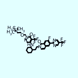 C[Si](C)(C)CCOCn1ncc(NC2CCCCC2CCn2ccc3cc(-c4ncc(C(F)(F)F)cn4)c(F)cc3c2=O)c(C(F)(F)F)c1=O